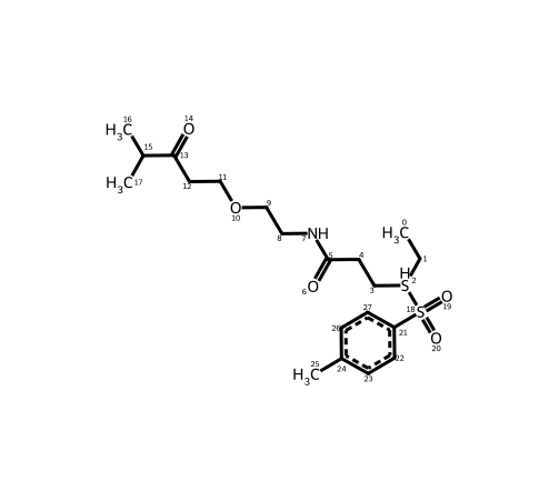 CC[SH](CCC(=O)NCCOCCC(=O)C(C)C)S(=O)(=O)c1ccc(C)cc1